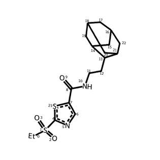 CCS(=O)(=O)c1ncc(C(=O)NCCC2C3CC4CC(C3)CC2C4)s1